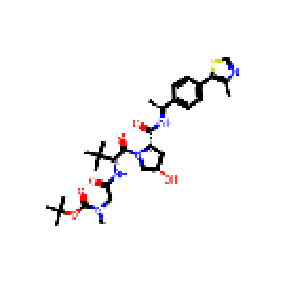 Cc1ncsc1-c1ccc([C@H](C)NC(=O)[C@@H]2C[C@@H](O)CN2C(=O)[C@@H](NC(=O)CN(C)C(=O)OC(C)(C)C)C(C)(C)C)cc1